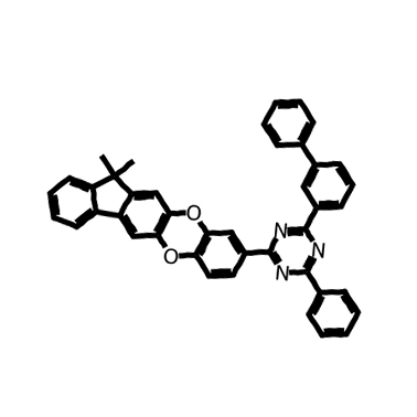 CC1(C)c2ccccc2-c2cc3c(cc21)Oc1cc(-c2nc(-c4ccccc4)nc(-c4cccc(-c5ccccc5)c4)n2)ccc1O3